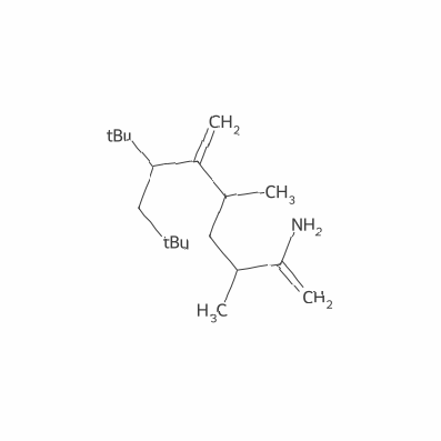 C=C(N)C(C)CC(C)C(=C)C(CC(C)(C)C)C(C)(C)C